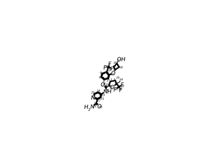 C[C@H]1[C@@H](c2cccc(C(F)(F)F)c2O[C@H]2C[C@@H](O)C2)[C@H](C(=O)Nc2ccnc(C(N)=O)c2)O[C@@]1(C)C(F)(F)F